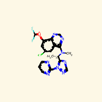 C[C@@H](c1ncnn1-c1ncccn1)N(C)c1ncnc2c(OC(F)F)cc(Cl)cc12